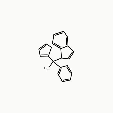 CC(C1=CC=CC1)(c1ccccc1)C1C=Cc2ccccc21